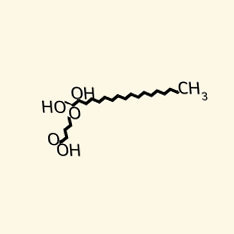 CCCCCCCCCCCCCCCCC(O)[C@H](CO)OCCCCC(=O)O